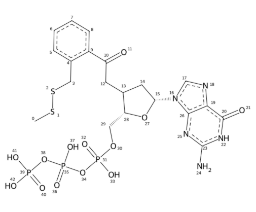 CSSCc1ccccc1C(=O)CC1C[C@H](n2cnc3c(=O)[nH]c(N)nc32)O[C@@H]1COP(=O)(O)OP(=O)(O)OP(=O)(O)O